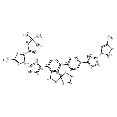 CC1=C[C@@H](c2ncc(-c3ccc(-c4ccc(-c5cnc([C@@H]6C=C(C)CN6C(=O)OC(C)(C)C)[nH]5)c5c4C4(CCCC4)CC5)cc3)[nH]2)NC1